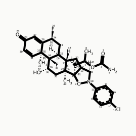 CC(OC(N)=O)C(=O)[C@@]12ON(c3ccc(Cl)cc3)C[C@@H]1C[C@H]1[C@@H]3C[C@H](F)C4=CC(=O)C=C[C@]4(C)[C@@]3(F)[C@@H](O)C[C@@]12C